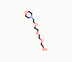 OCCOCCOCCOCCN1CCOCC1